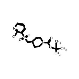 CC(C)(C)OC(=O)N1CCC(CS(=O)(=O)c2cccnc2Cl)CC1